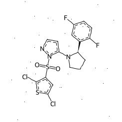 O=S(=O)(c1cc(Cl)sc1Cl)n1nccc1N1CCC[C@@H]1c1cc(F)ccc1F